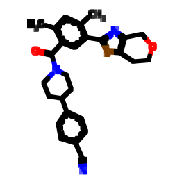 Cc1cc(C)c(-c2nc3c(s2)CCOC3)cc1C(=O)N1CCC(c2ccc(C#N)cc2)CC1